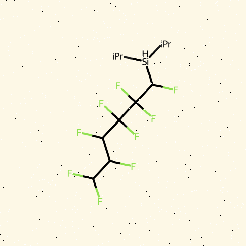 CC(C)[SiH](C(C)C)C(F)C(F)(F)C(F)(F)C(F)C(F)C(F)F